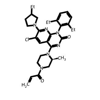 C=CC(=O)N1CCN(c2nc(=O)n(-c3c(CC)cccc3CC)c3nc(N4CCC(CC)C4)c(Cl)cc23)[C@@H](C)C1